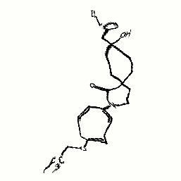 CCOCC1(O)CCC2(CCN(c3ccc(OCC(F)(F)F)cc3)C2=O)CC1